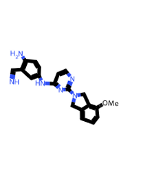 COc1cccc2c1CN(c1nccc(Nc3ccc(N)c(C=N)c3)n1)C2